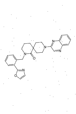 O=C1N(Cc2ccccc2-c2ncco2)CCCC12CCN(c1cnc3ccccc3n1)CC2